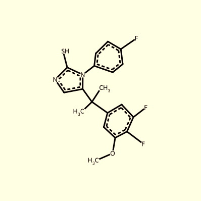 COc1cc(C(C)(C)c2cnc(S)n2-c2ccc(F)cc2)cc(F)c1F